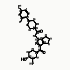 Cc1cc(F)ccc1C1CCN(C(=O)Cn2nc(C(=O)N3CC[C@@H](O)[C@H](F)C3)c3c2CCC3)CC1